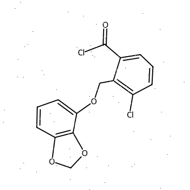 O=C(Cl)c1cccc(Cl)c1COc1cccc2c1OCO2